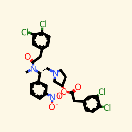 CN(C(=O)Cc1ccc(Cl)c(Cl)c1)[C@H](CN1CCC(OC(=O)Cc2ccc(Cl)c(Cl)c2)C1)c1cccc([N+](=O)[O-])c1